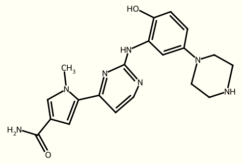 Cn1cc(C(N)=O)cc1-c1ccnc(Nc2cc(N3CCNCC3)ccc2O)n1